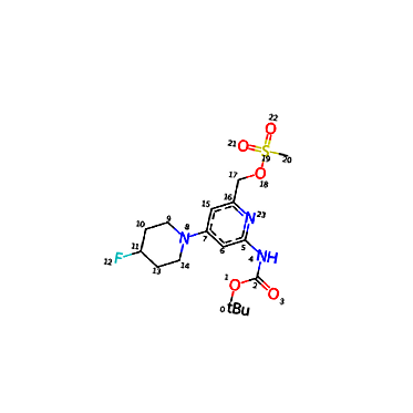 CC(C)(C)OC(=O)Nc1cc(N2CCC(F)CC2)cc(COS(C)(=O)=O)n1